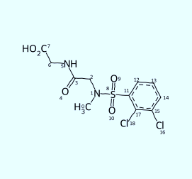 CN(CC(=O)NCC(=O)O)S(=O)(=O)c1cccc(Cl)c1Cl